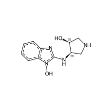 O[C@H]1CNC[C@H]1Nc1nc2ccccc2n1O